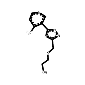 OCCSCc1noc(-c2cnccc2C(F)(F)F)n1